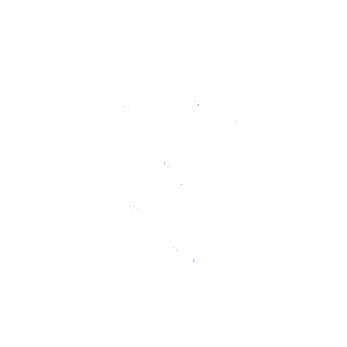 BC(O)(O)NC(=O)c1cnc(NC(=O)C(F)(F)F)cc1Nc1ccc2cnn(CC)c2c1OC